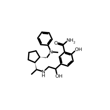 CC(NCC(O)c1ccc(O)c(C(N)=O)c1)[C@@H]1CCC[C@@H]1CN(C)c1ccccc1